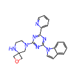 c1ccc(-c2nc(N3CCNC4(COC4)C3)nc(-n3ccc4ccccc43)n2)nc1